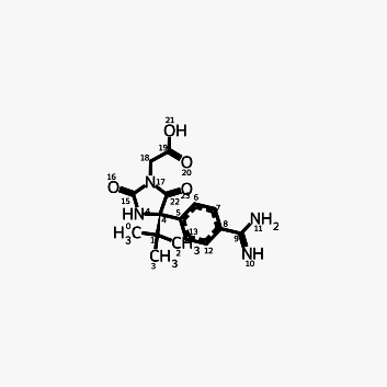 CC(C)(C)[C@@]1(c2ccc(C(=N)N)cc2)NC(=O)N(CC(=O)O)C1=O